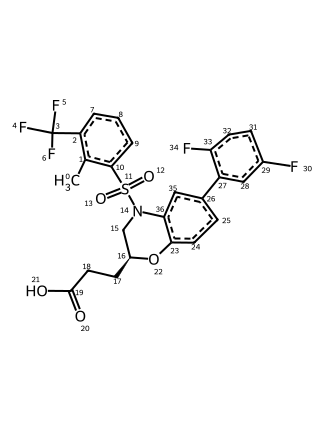 Cc1c(C(F)(F)F)cccc1S(=O)(=O)N1C[C@H](CCC(=O)O)Oc2ccc(-c3cc(F)ccc3F)cc21